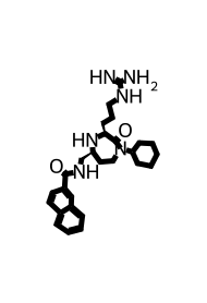 N=C(N)NCCC[C@@H]1N[C@H](CNC(=O)c2ccc3ccccc3c2)CCN(C2CCCCC2)C1=O